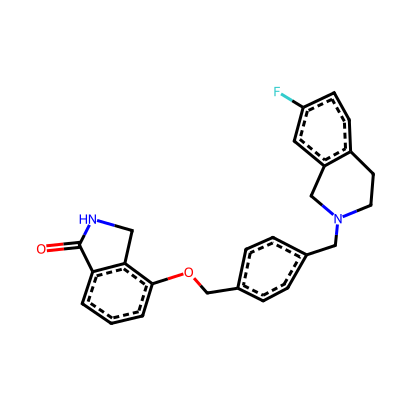 O=C1NCc2c(OCc3ccc(CN4CCc5ccc(F)cc5C4)cc3)cccc21